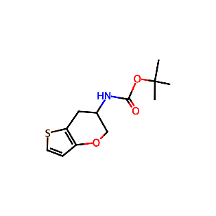 CC(C)(C)OC(=O)NC1COc2ccsc2C1